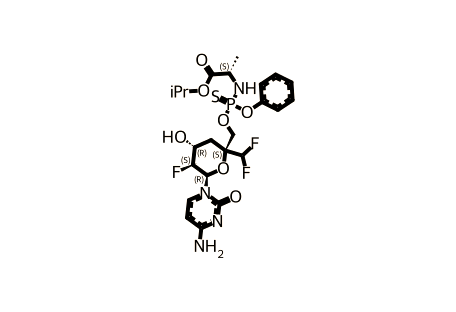 CC(C)OC(=O)[C@H](C)NP(=S)(OC[C@]1(C(F)F)C[C@@H](O)[C@H](F)[C@H](n2ccc(N)nc2=O)O1)Oc1ccccc1